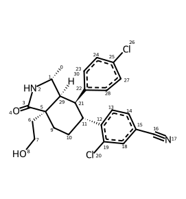 C[C@H]1NC(=O)[C@]2(CCO)CC[C@@H](c3ccc(C#N)cc3Cl)[C@H](c3ccc(Cl)cc3)[C@H]12